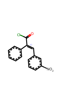 O=C(Cl)/C(=C/c1cccc([N+](=O)[O-])c1)c1ccccc1